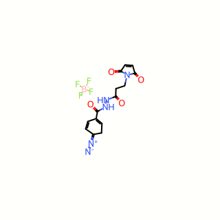 F[B-](F)(F)F.[N-]=[N+]=C1C=CC(C(=O)NNC(=O)CCN2C(=O)C=CC2=O)=CC1